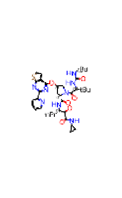 CCC[C@H](NC(=O)[C@@H]1C[C@@H](Oc2nc(-c3ccccn3)nc3sccc23)CN1C(=O)[C@@H](NC(=O)NC(C)(C)C)C(C)(C)C)C(=O)C(=O)NC1CC1